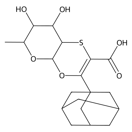 CC1OC2OC(C34CC5CC(CC(C5)C3)C4)=C(C(=O)O)SC2C(O)C1O